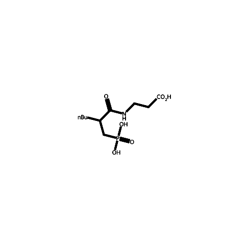 CCCCC(CP(=O)(O)O)C(=O)NCCC(=O)O